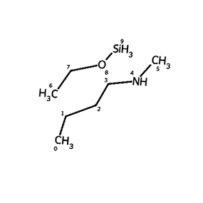 CCCCNC.CCO[SiH3]